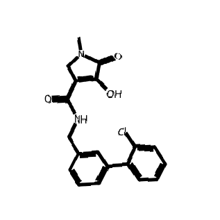 CN1CC(C(=O)NCc2cccc(-c3ccccc3Cl)c2)=C(O)C1=O